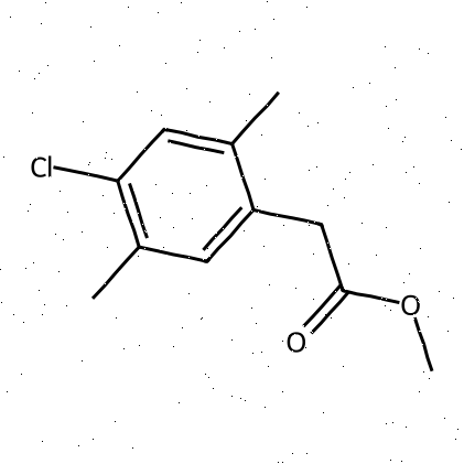 COC(=O)Cc1cc(C)c(Cl)cc1C